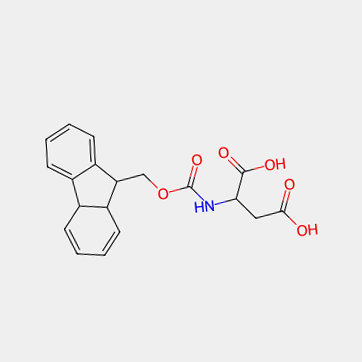 O=C(O)CC(NC(=O)OCC1c2ccccc2C2C=CC=CC21)C(=O)O